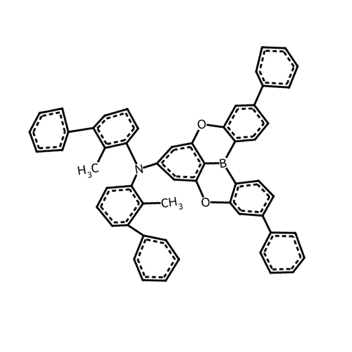 Cc1c(-c2ccccc2)cccc1N(c1cc2c3c(c1)Oc1cc(-c4ccccc4)ccc1B3c1ccc(-c3ccccc3)cc1O2)c1cccc(-c2ccccc2)c1C